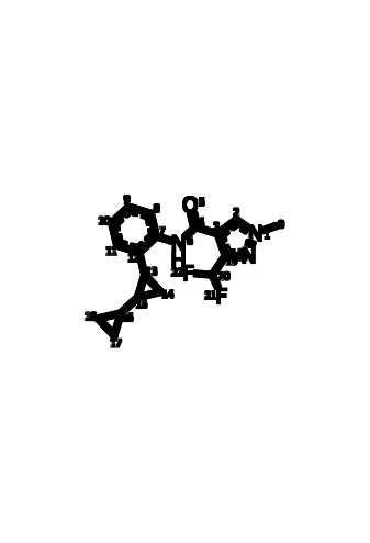 Cn1cc(C(=O)Nc2ccccc2C2CC2C2CC2)c(C(F)F)n1